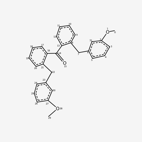 COc1cccc(Cc2ccccc2C(=O)c2ccccc2Cc2cccc(OC)c2)c1